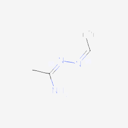 CCC/C=N\N=C(\C)N